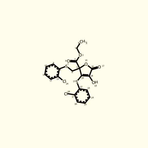 CCOC(=O)C1(CSc2ccccc2Cl)OC(=O)C(O)=C1Sc1ccccc1Cl